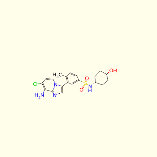 Cc1ccc(S(=O)(=O)N[C@H]2CC[C@H](O)CC2)cc1-c1cnc2c(N)c(Cl)ccn12